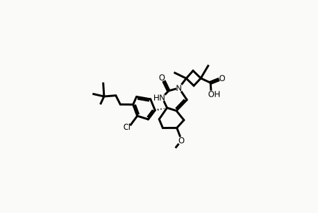 COC1CC[C@@]2(c3ccc(CCC(C)(C)C)c(Cl)c3)NC(=O)N(C3(C)CC(C)(C(=O)O)C3)C=C2C1